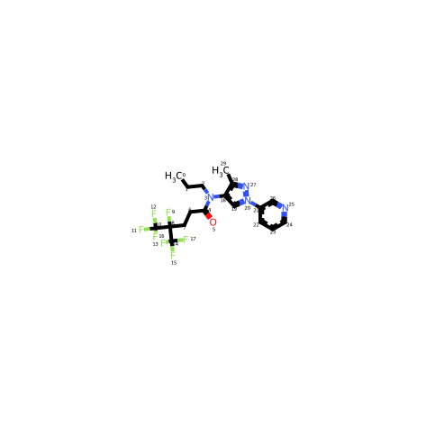 CCCN(C(=O)CCC(F)(C(F)(F)F)C(F)(F)F)c1cn(-c2cccnc2)nc1C